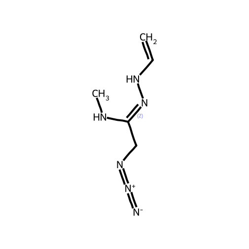 C=CN/N=C(/CN=[N+]=[N-])NC